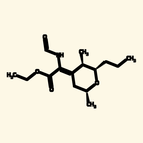 CCC[C@@H]1O[C@H](C)C/C(=C(/NC=O)C(=O)OCC)[C@@H]1C